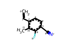 C=Cc1ccc(C#N)c(F)c1C